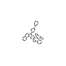 c1ccc(-c2ccc(-n3c4cc5c(cc4c4c6ccccc6ccc43)Oc3ccccc3C53c4ccccc4-c4ccccc43)cc2)cc1